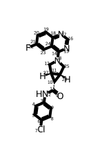 O=C(Nc1ccc(Cl)cc1)[C@@H]1[C@@H]2CN(c3ncnc4ccc(F)cc34)C[C@@H]21